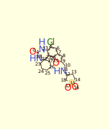 O=C1Nc2c(Cl)cc3cc(CNC4CCS(=O)(=O)C4)oc3c2C2(CCCCC2)N1